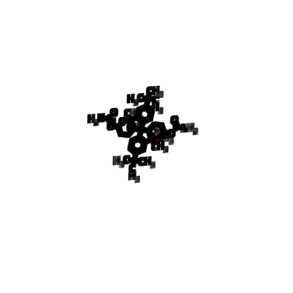 CC(C)(C)c1ccc(C(c2ccc(C(C)(C)C)cc2C(C)(C)C)(C2CCC(OC(N)=O)CC2)C2CCC(OC(N)=O)CC2)c(C(C)(C)C)c1